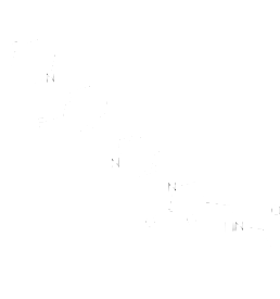 CC(=O)NCC1CN(c2ccc(-c3ccc(N4CCSCC4)c(F)c3)nc2)C(=O)O1